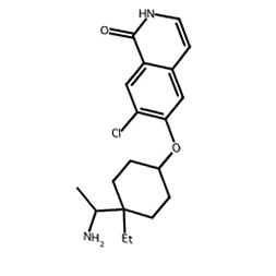 CCC1(C(C)N)CCC(Oc2cc3cc[nH]c(=O)c3cc2Cl)CC1